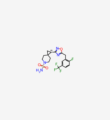 NS(=O)(=O)N1CCC2(CC1)C[C@H]2c1noc(Cc2cc(C(F)(F)F)ccc2F)n1